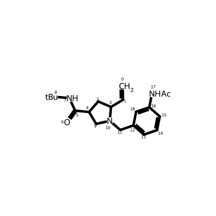 C=CC1CC(C(=O)NC(C)(C)C)CN1Cc1cccc(NC(C)=O)c1